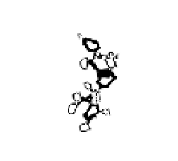 CCCN(C(=O)c1cc(NC(=O)[C@@H]2[C@@H](c3cc(Cl)cc(Cl)c3)C2(Cl)Cl)ccc1Cl)c1ccc(F)cc1